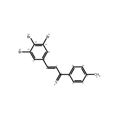 Cc1ccc(C(=S)C=Cc2cc(Br)c(Br)c(Br)c2)cc1